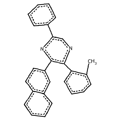 Cc1ccccc1-c1ncc(-c2ccccc2)nc1-c1ccc2ccccc2c1